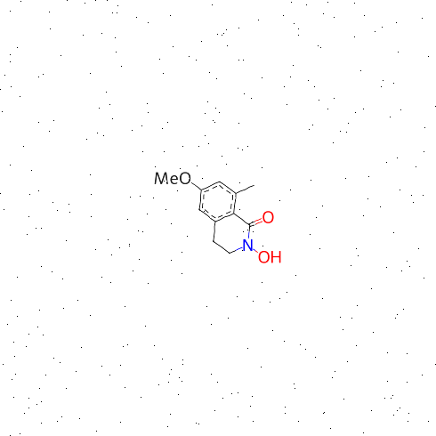 COc1cc(C)c2c(c1)CCN(O)C2=O